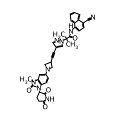 Cn1c(=O)n(C2CCC(=O)NC2=O)c2ccc(N3CC(C#Cc4cnn(C(C)(C)C(=O)Nc5ccc(C#N)c6ccccc56)c4)C3)cc21